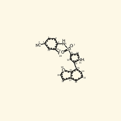 N#Cc1ccc(NS(=O)(=O)c2c[nH]c(-c3cccc4ccoc34)c2)c(F)c1